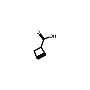 O=C(O)C1C#CC1